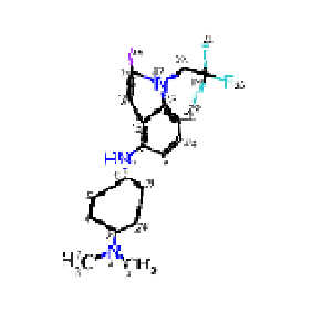 CN(C)[C@H]1CC[C@H](Nc2cccc3c2cc(I)n3CC(F)(F)F)CC1